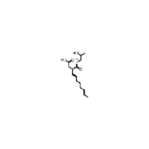 CCCCCCC=CC(CC(=O)O)C(=O)NCC(C)O